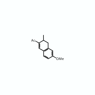 COc1ccc2c(c1)CC(C)C(C(C)=O)=C2